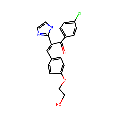 O=C(C(=Cc1ccc(OCCO)cc1)c1ncc[nH]1)c1ccc(Cl)cc1